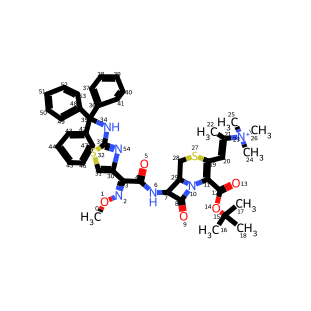 CON=C(C(=O)NC1C(=O)N2C(C(=O)OC(C)(C)C)=C(/C=C(\C)[N+](C)(C)C)SCC12)c1csc(NC(c2ccccc2)(c2ccccc2)c2ccccc2)n1